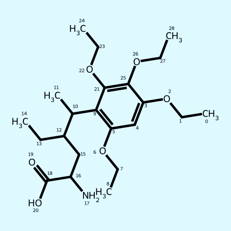 CCOc1cc(OCC)c(C(C)C(CC)CC(N)C(=O)O)c(OCC)c1OCC